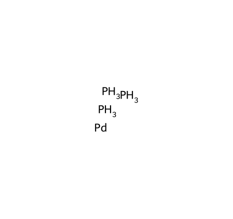 P.P.P.[Pd]